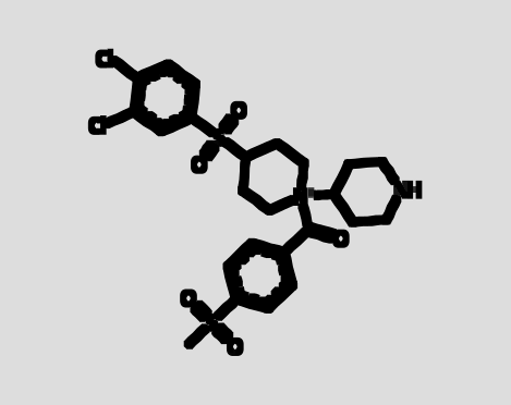 CS(=O)(=O)c1ccc(C(=O)[N+]2(C3CCNCC3)CCC(S(=O)(=O)c3ccc(Cl)c(Cl)c3)CC2)cc1